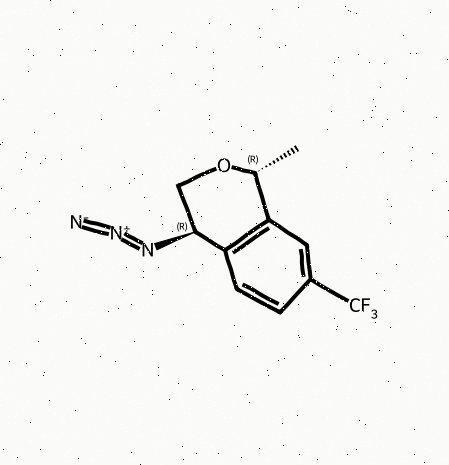 C[C@H]1OC[C@H](N=[N+]=[N-])c2ccc(C(F)(F)F)cc21